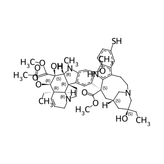 CC[C@]1(O)C[C@H]2CN(CCc3c([nH]c4ccc(S)cc34)[C@@](C(=O)OC)(c3cc4c(cc3OC)N(C)[C@H]3[C@@](O)(C(=O)OC)[C@H](OC(C)=O)[C@]5(CC)C=CCN6CC[C@]43[C@@H]65)C2)C1